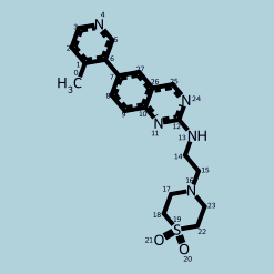 Cc1ccncc1-c1ccc2nc(NCCN3CCS(=O)(=O)CC3)ncc2c1